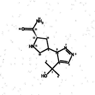 CC(C)(O)c1cnnn1C1CN[C@H](C(N)=O)C1